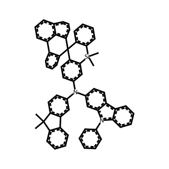 CC1(C)c2ccccc2-c2cc(N(c3ccc4c(c3)[Si](C)(C)c3ccccc3C43c4ccccc4-c4cccc5cccc3c45)c3ccc4c5ccccc5n(-c5ccccc5)c4c3)ccc21